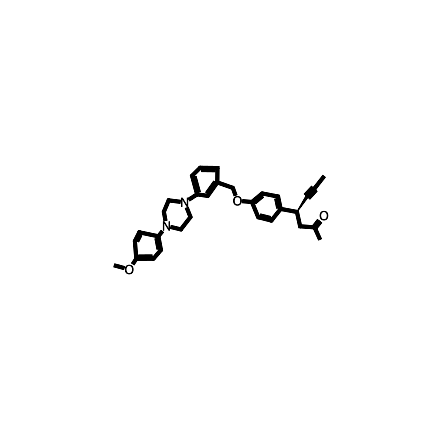 CC#C[C@@H](CC(C)=O)c1ccc(OCc2cccc(N3CCN(c4ccc(OC)cc4)CC3)c2)cc1